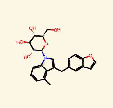 Cc1cccc2c1c(Cc1ccc3occc3c1)cn2[C@@H]1O[C@H](CO)[C@@H](O)[C@H](O)[C@H]1O